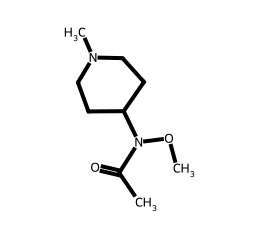 CON(C(C)=O)C1CCN(C)CC1